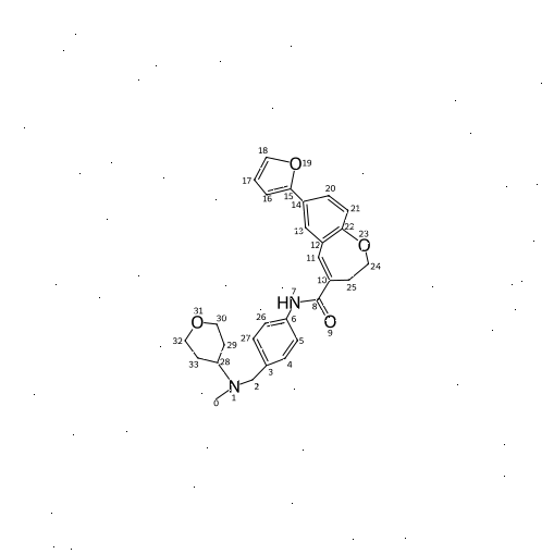 CN(Cc1ccc(NC(=O)C2=Cc3cc(-c4ccco4)ccc3OCC2)cc1)C1CCOCC1